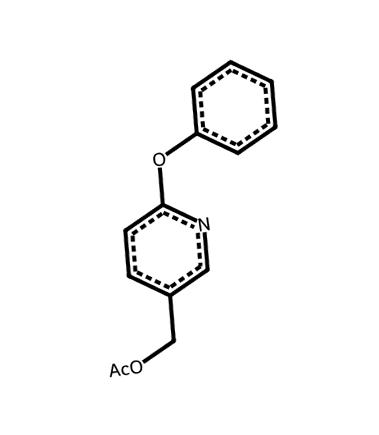 CC(=O)OCc1ccc(Oc2ccccc2)nc1